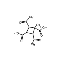 CC1(C(=O)O)C(C(=O)O)C(C(=O)O)C1C(=O)O